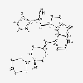 CC[C@]1(N2CCOCC2)CC[C@H](Oc2ccnc3sc4c(c23)[C@@H](C[C@H](O)c2ncco2)CC4)CC1